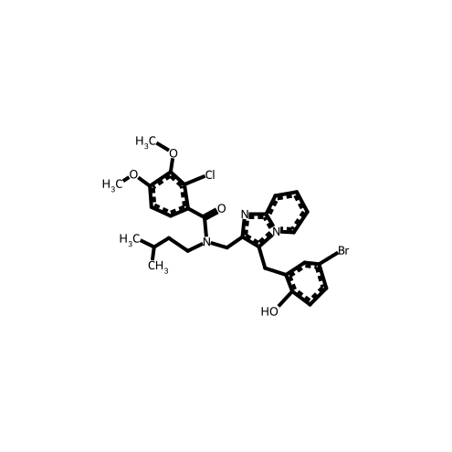 COc1ccc(C(=O)N(CCC(C)C)Cc2nc3ccccn3c2Cc2cc(Br)ccc2O)c(Cl)c1OC